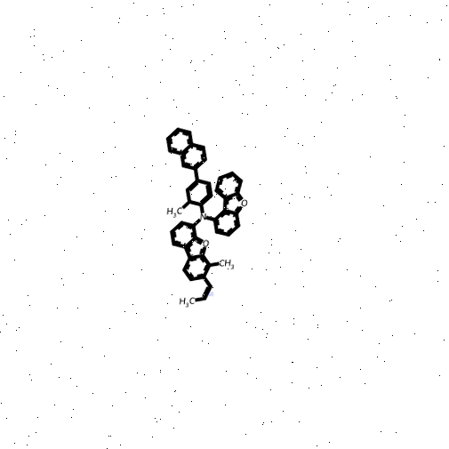 C/C=C\c1ccc2c(oc3c(N(C4=C=CC(c5ccc6ccccc6c5)=CC4C)c4cccc5oc6ccccc6c45)cccc32)c1C